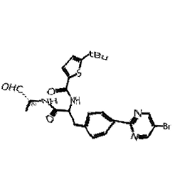 C[C@H](C=O)NC(=O)C(Cc1ccc(-c2ncc(Br)cn2)cc1)NC(=O)c1ccc(C(C)(C)C)s1